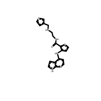 O=C(NCCNCc1ccoc1)c1sccc1Nc1ccnc2[nH]ccc12